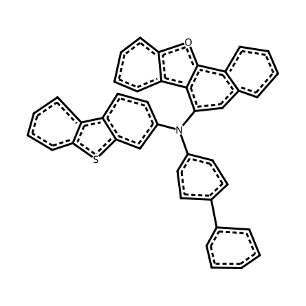 c1ccc(-c2ccc(N(c3ccc4c(c3)sc3ccccc34)c3cc4ccccc4c4oc5ccccc5c34)cc2)cc1